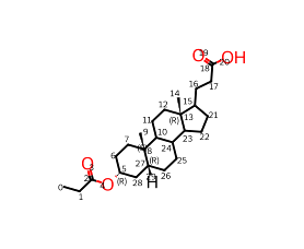 CCC(=O)O[C@@H]1CC[C@]2(C)C3CC[C@]4(C)C(CCC(=O)O)CCC4C3CC[C@@H]2C1